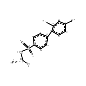 CCC[C@@H](CC)NS(=O)(=O)c1ccc(-c2ccc(F)cc2F)cc1